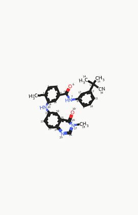 Cc1ccc(C(=O)Nc2cccc(C(C)(C)C#N)c2)cc1Nc1ccc2ncn(C)c(=O)c2c1